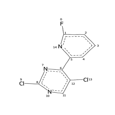 Fc1cccc(-c2nc(Cl)ncc2Cl)n1